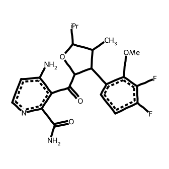 COc1c(C2C(C(=O)c3c(N)ccnc3C(N)=O)OC(C(C)C)C2C)ccc(F)c1F